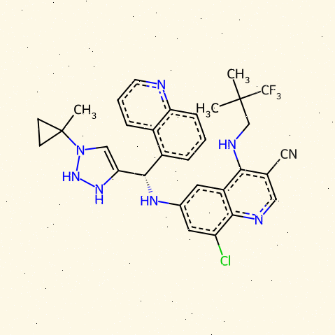 CC1(N2C=C([C@@H](Nc3cc(Cl)c4ncc(C#N)c(NCC(C)(C)C(F)(F)F)c4c3)c3cccc4ncccc34)NN2)CC1